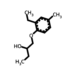 CCc1cc(C)ccc1OCC(O)CC